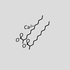 CCCCCCCCCCC(C)C(=O)[O-].CCCCCCCCCCC(C)C(=O)[O-].[Ca+2]